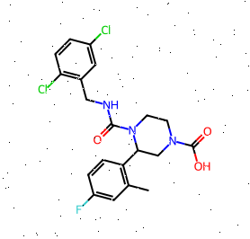 Cc1cc(F)ccc1C1CN(C(=O)O)CCN1C(=O)NCc1cc(Cl)ccc1Cl